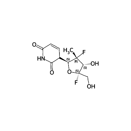 C[C@]1(F)[C@H](C2C=CC(=O)NC2=O)O[C@](F)(CO)[C@H]1O